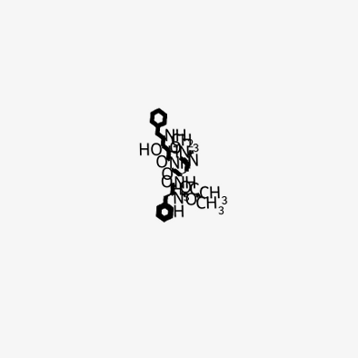 COC(C(=O)NC(=O)[C@H](Cc1c[nH]cn1)NC(=O)[C@H](Cc1ccccc1)NC(=O)OC(C)(C)C)C(O)C(N)CC1CCCCC1